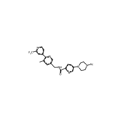 CC(=O)N1CCN(c2ccc(C(=O)NCc3cnc(-c4ccnc(C(F)(F)F)c4)c(C)c3)nc2)CC1